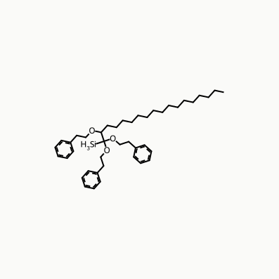 CCCCCCCCCCCCCCCCC(OCCc1ccccc1)C([SiH3])(OCCc1ccccc1)OCCc1ccccc1